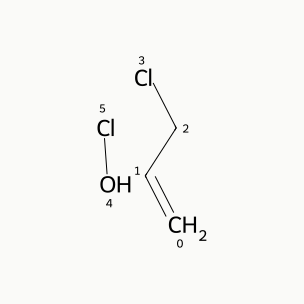 C=CCCl.OCl